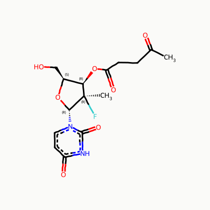 CC(=O)CCC(=O)O[C@@H]1[C@H](CO)O[C@@H](n2ccc(=O)[nH]c2=O)[C@]1(C)F